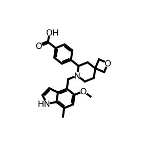 COc1cc(C)c2[nH]ccc2c1CN1CCC2(COC2)CC1c1ccc(C(=O)O)cc1